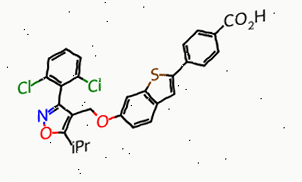 CC(C)c1onc(-c2c(Cl)cccc2Cl)c1COc1ccc2cc(-c3ccc(C(=O)O)cc3)sc2c1